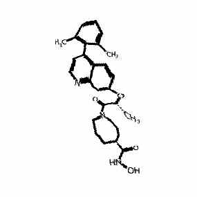 Cc1cccc(C)c1-c1ccnc2cc(O[C@H](C)C(=O)N3CCC[C@H](C(=O)NO)C3)ccc12